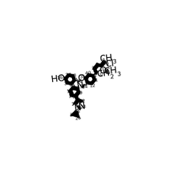 C=C(/C=C\C(OC)=C(/C)Cl)[C@H]1CC[C@H](CN(c2cccc(-c3cnn(C4CC4)c3)c2)C(=O)[C@H]2CC[C@H](O)CC2)CC1